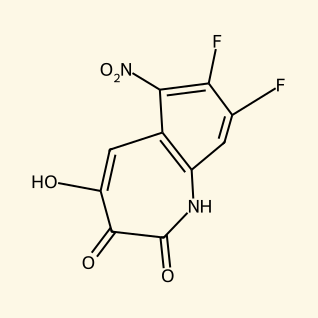 O=c1[nH]c2cc(F)c(F)c([N+](=O)[O-])c2cc(O)c1=O